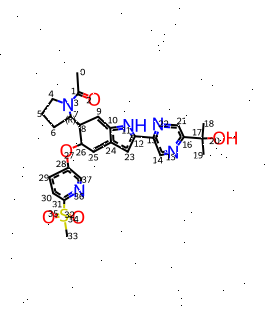 CC(=O)N1CCC[C@@H]1C1C=c2[nH]c(-c3cnc(C(C)(C)O)cn3)cc2=CC1Oc1ccc(S(C)(=O)=O)nc1